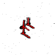 CCCCCCCCCCCCCCCC[P+](CCCC)(CCCC)CCCCCCCCCCCCCCCC.CCCCCCCCCCCCCCCC[P+](CCCC)(CCCC)CCCCCCCCCCCCCCCC.CCCCCCCCCCCCCCCC[P+](CCCC)(CCCC)CCCCCCCCCCCCCCCC.[O-]B([O-])[O-]